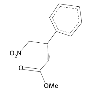 COC(=O)C[C@H](C[N+](=O)[O-])c1ccccc1